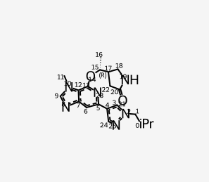 CC(C)Cn1cc(-c2cc3ncn(C)c3c(O[C@H](C)C3CNC(=O)C3)n2)cn1